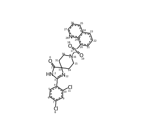 O=C1NC(c2ccc(Cl)cc2Cl)=NC12CCN(S(=O)(=O)c1cccc3cccnc13)CC2